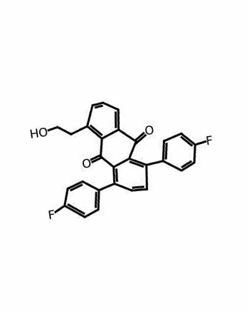 O=C1c2cccc(CCO)c2C(=O)c2c(-c3ccc(F)cc3)ccc(-c3ccc(F)cc3)c21